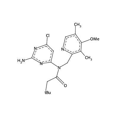 COc1c(C)cnc(CN(C(=O)CC(C)(C)C)c2cc(Cl)nc(N)n2)c1C